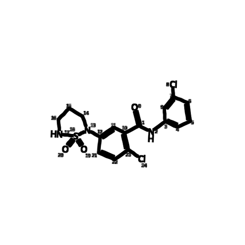 O=C(Nc1cccc(Cl)c1)c1cc(N2CCCNS2(=O)=O)ccc1Cl